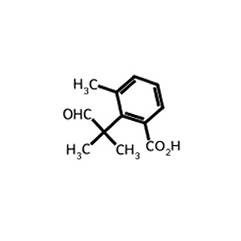 Cc1cccc(C(=O)O)c1C(C)(C)C=O